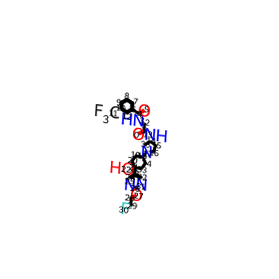 O=C(CNC(=O)c1cccc(C(F)(F)F)c1)NC1CCN(C2CCC(O)(c3cnc(OCCF)nc3)CC2)C1